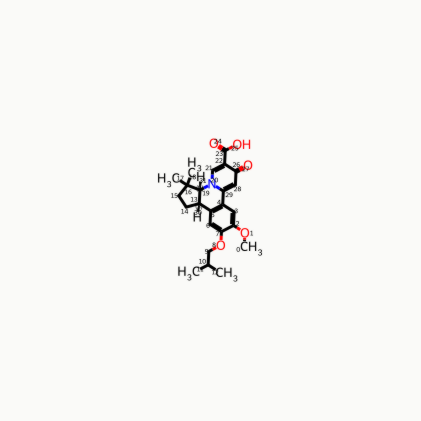 COc1cc2c(cc1OCC(C)C)[C@@H]1CCC(C)(C)[C@@H]1n1cc(C(=O)O)c(=O)cc1-2